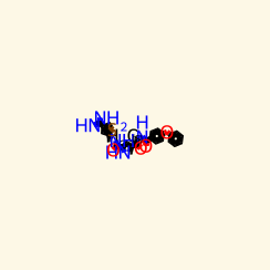 C[C@H](NC(=O)c1ccc(Oc2ccccc2)cc1)C(=O)C1CNC(C(=O)NCc2cc(C(=N)N)cs2)C1